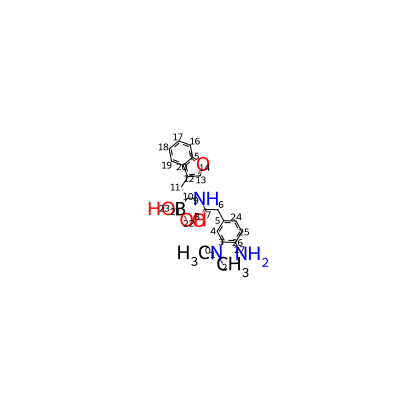 CN(C)c1cc(CC(=O)N[C@@H](Cc2coc3ccccc23)B(O)O)ccc1N